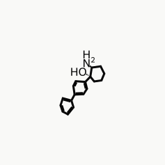 N[C@H]1CCCC[C@@]1(O)c1ccc(-c2ccccc2)cc1